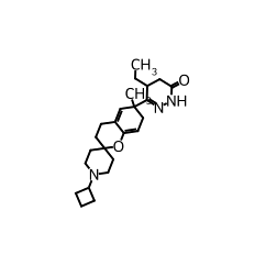 CCC1CC(=O)NN=C1C1(C)C=C2CCC3(CCN(C4CCC4)CC3)OC2=CC1